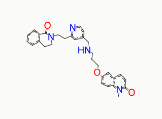 Cn1c(=O)ccc2cc(OCCCNCc3ccnc(CCN4CCc5ccccc5C4=O)c3)ccc21